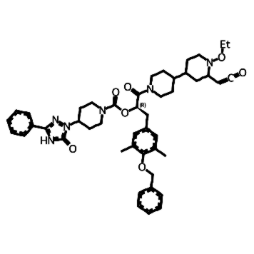 CCON1CCC(C2CCN(C(=O)[C@@H](Cc3cc(C)c(OCc4ccccc4)c(C)c3)OC(=O)N3CCC(n4nc(-c5ccccc5)[nH]c4=O)CC3)CC2)CC1C=C=O